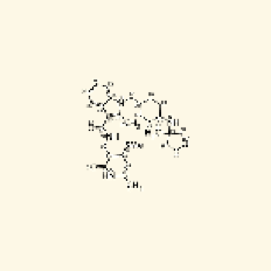 CSc1cc(C)[nH]c(=O)c1CNC(=O)c1c(C)n(CC2CCC(NC3(C)CCOC3)CC2)c2ccccc12